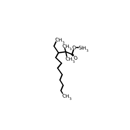 CCCCCCCCC(CC)C(C)(C)C(=O)O[SiH3]